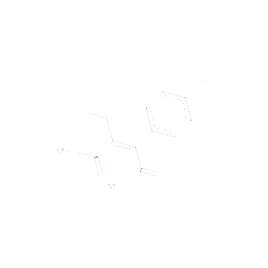 COC(=O)/C(CC(C)C)=C(\C(=O)OC)c1ccc(O)cc1